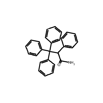 NC(=O)C(c1ccccc1)C(c1ccccc1)(c1ccccc1)c1ccccc1